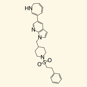 O=S(=O)(CCc1ccccc1)N1CCC(Cn2ccc3cc(C4=CNCC=C=C4)cnc32)CC1